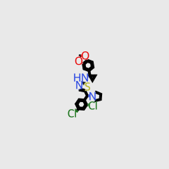 Clc1ccc(C(c2cnc(NC3(c4ccc5c(c4)OCO5)CC3)s2)N2CCCC2)c(Cl)c1